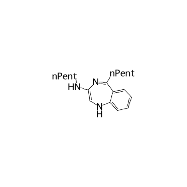 CCCCCNC1=CNc2ccccc2C(CCCCC)=N1